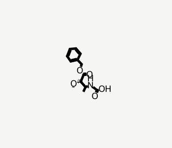 CO[C@H](C(=O)OCc1ccccc1)C(C)NC(=O)O